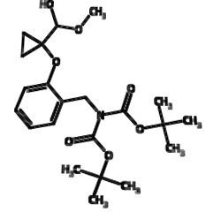 COC(O)C1(Oc2ccccc2CN(C(=O)OC(C)(C)C)C(=O)OC(C)(C)C)CC1